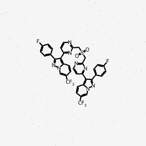 O=S(=O)(Cc1nccc(-c2c(-c3ccc(F)cc3)nn3cc(C(F)(F)F)ccc23)n1)Cc1nccc(-c2c(-c3ccc(F)cc3)nn3cc(C(F)(F)F)ccc23)n1